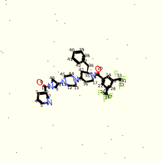 O=C(c1cccnc1)N1CC(N2CCN(C3CCN(C(=O)c4cc(C(F)(F)F)cc(C(F)(F)F)c4)[C@H](Cc4ccccc4)C3)CC2)C1